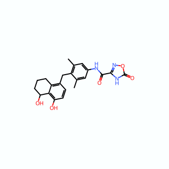 Cc1cc(NC(=O)c2noc(=O)[nH]2)cc(C)c1Cc1ccc(O)c2c1CCCC2O